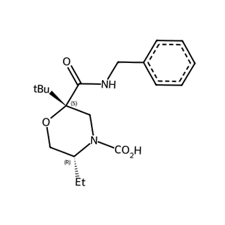 CC[C@@H]1CO[C@@](C(=O)NCc2ccccc2)(C(C)(C)C)CN1C(=O)O